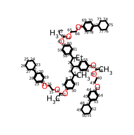 CCC(CC(CC(C)c1ccc(OC(C)OCCOc2ccc(C3CCCCC3)cc2)cc1)c1ccc(OC(C)OCCOc2ccc(C3CCCCC3)cc2)cc1)c1ccc(OC(C)OCCOc2ccc(C3CCCCC3)cc2)cc1